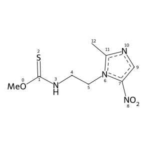 COC(=S)NCCn1c([N+](=O)[O-])cnc1C